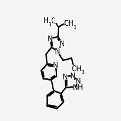 CCCn1nc(C(C)C)nc1Cc1ccc(-c2ccccc2-c2nnn[nH]2)cn1